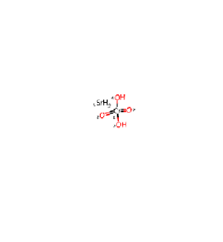 [O]=[Cr](=[O])([OH])[OH].[SrH2]